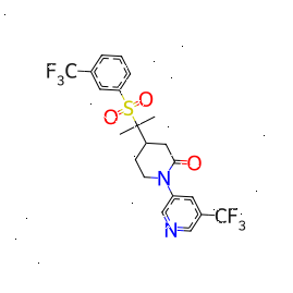 CC(C)(C1CCN(c2cncc(C(F)(F)F)c2)C(=O)C1)S(=O)(=O)c1cccc(C(F)(F)F)c1